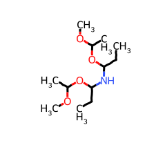 CCC(NC(CC)OC(C)OC)OC(C)OC